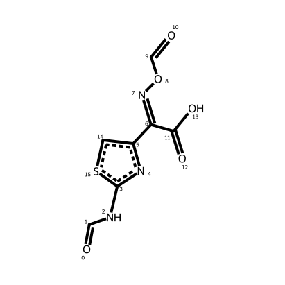 O=CNc1nc(C(=NOC=O)C(=O)O)cs1